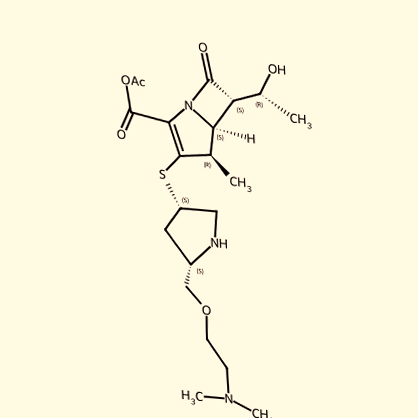 CC(=O)OC(=O)C1=C(S[C@@H]2CN[C@H](COCCN(C)C)C2)[C@H](C)[C@@H]2[C@@H]([C@@H](C)O)C(=O)N12